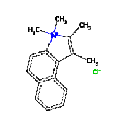 CC1=C(C)[N+](C)(C)c2ccc3ccccc3c21.[Cl-]